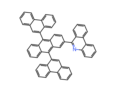 c1ccc2c(c1)cc(-c1c3ccccc3c(-c3cc4ccccc4c4ccccc34)c3cc(-c4nc5ccccc5c5ccccc45)ccc13)c1ccccc12